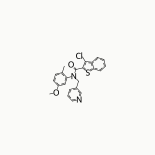 COc1ccc(C)c(N(Cc2cccnc2)C(=O)c2sc3ccccc3c2Cl)c1